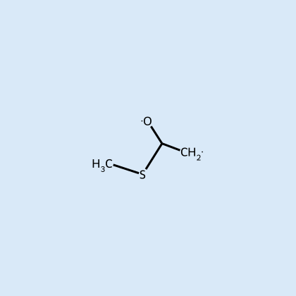 [CH2]C([O])SC